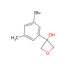 Cc1cc(C(C)(C)C)cc(C2(O)COC2)c1